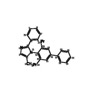 Cc1cnc(-c2ccccc2)n1-c1c(C(C)C)cc(-c2ccccc2)cc1C(C)C